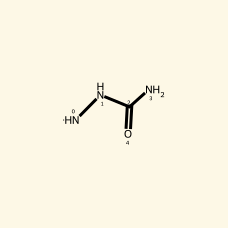 [NH]NC(N)=O